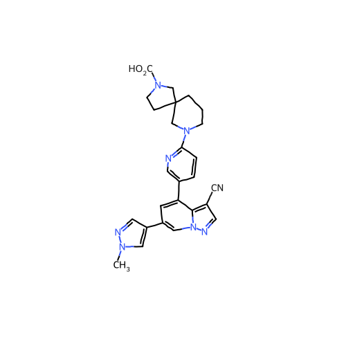 Cn1cc(-c2cc(-c3ccc(N4CCCC5(CCN(C(=O)O)C5)C4)nc3)c3c(C#N)cnn3c2)cn1